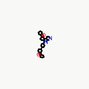 c1ccc2c(c1)oc1ccc(-c3ccc(-c4nc5cnccc5c5c4ccc4c6ccccc6oc45)cc3)cc12